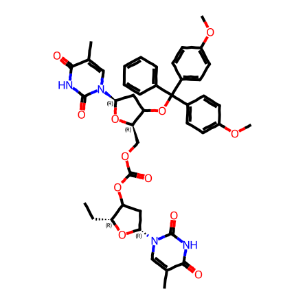 CC[C@H]1O[C@@H](n2cc(C)c(=O)[nH]c2=O)CC1OC(=O)OC[C@H]1O[C@@H](n2cc(C)c(=O)[nH]c2=O)CC1OC(c1ccccc1)(c1ccc(OC)cc1)c1ccc(OC)cc1